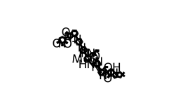 C=CC(=O)Nc1cc(Nc2nc(-c3ccnc(N4CCn5c(cc6c5CC(C)(C)C6)C4=O)c3CO)cnc2OC)ccc1N1CCN(C2CCN(c3cccc4c3CN(C3CCC(=O)N(C)C3=O)C4=O)[C@H](C)C2)C[C@@H]1C